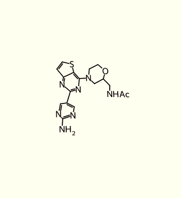 CC(=O)NCC1CN(c2nc(-c3cnc(N)nc3)nc3ccsc23)CCO1